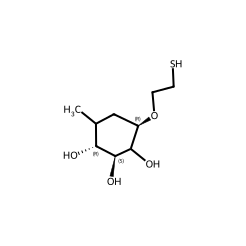 CC1C[C@@H](OCCS)C(O)[C@@H](O)[C@@H]1O